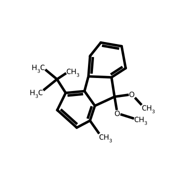 COC1(OC)c2ccccc2-c2c(C(C)(C)C)ccc(C)c21